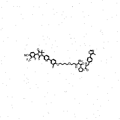 Cc1ncsc1-c1ccc(CNC(=O)[C@@H]2CCCN2C(=O)C(NCCOCCCCOc2ccc(-c3ccc(N4C(=S)N(c5ccc(C#N)c(C(F)(F)F)c5F)C(=O)C4(C)C)cn3)cc2F)C(C)(C)C)cc1